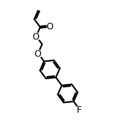 C=CC(=O)OCOc1ccc(-c2ccc(F)cc2)cc1